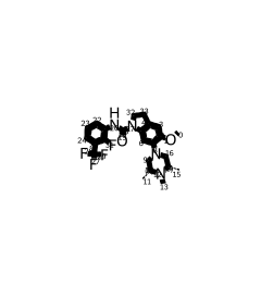 COc1cc2c(cc1N1C[C@@H](C)N(C)[C@@H](C)C1)N(C(=O)Nc1cccc(C(F)(F)F)c1F)CC2